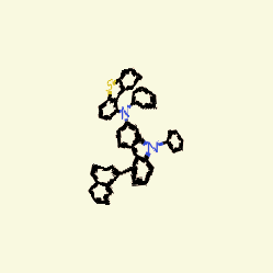 c1ccc(N(c2ccc3c4c(-c5cccc6ccccc56)cccc4n(-c4ccccc4)c3c2)c2cccc3sc4ccccc4c23)cc1